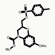 COc1ccc2c(c1)OC(COS(=O)(=O)c1ccc(C)cc1)CN2C(=O)OC(C)(C)C